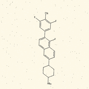 CCCCC1CCC(c2ccc3c(F)c(-c4cc(F)c(C#N)c(F)c4)ccc3c2)CC1